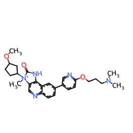 COC1CCC([N+]2(C)C(=O)Nc3c2cnc2ccc(-c4ccc(OCCCN(C)C)nc4)cc32)C1